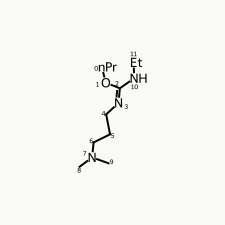 CCCO/C(=N\CCCN(C)C)NCC